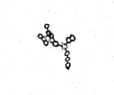 c1ccc(-c2ccc(-c3ccc(-c4nc(-c5ccc6ccccc6c5)nc(-c5ccc6c(c5)c5ccccc5n6-c5cccc6c7ccccc7n(-c7cccc(-c8ccccc8)c7)c56)n4)cc3)cc2)cc1